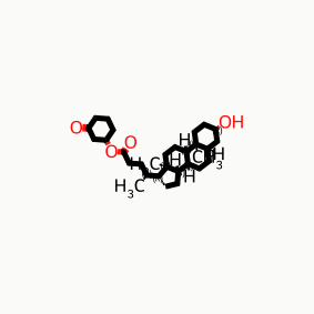 C[C@H](CCC(=O)OC1CCCC(=O)C1)[C@H]1CC[C@H]2[C@@H]3CC[C@@H]4C[C@H](O)CC[C@]4(C)[C@H]3CC[C@]12C